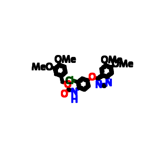 COc1ccc(COC(=O)Nc2ccc(Oc3ncnc4cc(OC)c(OC)cc34)cc2Cl)cc1OC